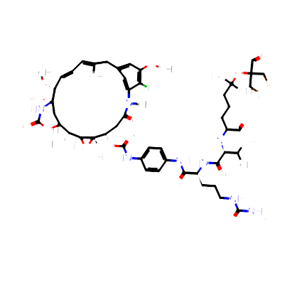 COc1cc2cc(c1Cl)N(C)C(=O)C[C@H](OC(=O)Nc1ccc(NC(=O)[C@H](CCCNC(N)=O)NC(=O)[C@@H](NC(C=O)CCCC(C)(C)OC(C=O)(CBr)CBr)C(C)C)cc1)[C@]1(C)O[C@H]1[C@H](C)[C@@H]1C[C@@](O)(NC(=O)O1)[C@H](OC)/C=C/C=C(\C)C2